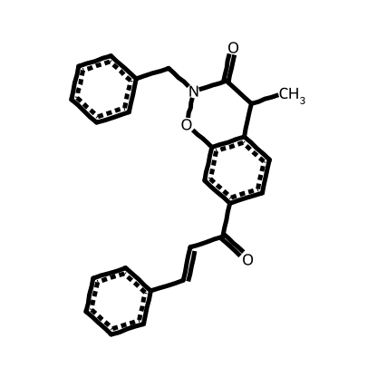 CC1C(=O)N(Cc2ccccc2)Oc2cc(C(=O)C=Cc3ccccc3)ccc21